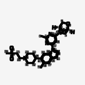 Cc1nc(N2C[C@H]3C[C@@H]2CO3)cc(-n2ncc3cc(C)c(C4CCN(CCS(C)(=O)=O)CC4)cc32)n1